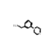 NCc1cccc(N2CCOCC2)c1